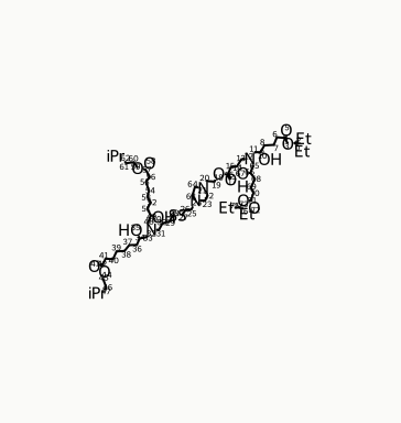 CCC(CC)OC(=O)CCCC(O)CN(CCCC(=O)OCCN1CCN(CCSSCCCN(CC(O)CCCCCCC(=O)OCCC(C)C)CC(O)CCCCCCC(=O)OCCC(C)C)CC1)CC(O)CCCC(=O)OC(CC)CC